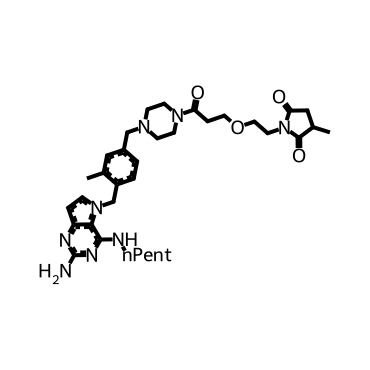 CCCCCNc1nc(N)nc2ccn(Cc3ccc(CN4CCN(C(=O)CCOCCN5C(=O)CC(C)C5=O)CC4)cc3C)c12